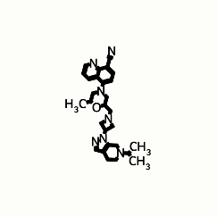 CC1CN(c2ccc(C#N)c3ncccc23)CC(CN2CC(n3ncc4c3CN(C(C)C)CC4)C2)O1